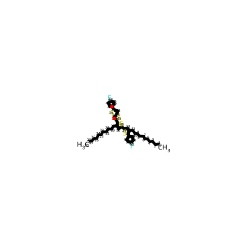 CCCCCCCCCCCCc1cc(-c2cc(CCCCCCCCCCCC)c(-c3cc4sc(-c5ccc(F)cc5)cc4s3)s2)sc1-c1ccc(F)cc1